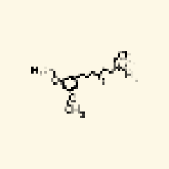 CCOc1cc(CCCC(=O)CCN(CC)CC)cc(OCC)c1